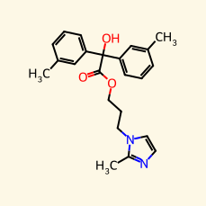 Cc1cccc(C(O)(C(=O)OCCCn2ccnc2C)c2cccc(C)c2)c1